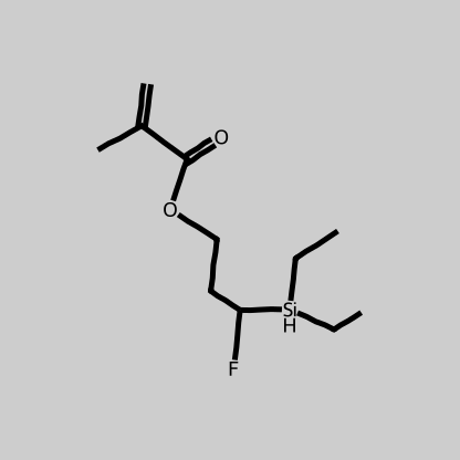 C=C(C)C(=O)OCCC(F)[SiH](CC)CC